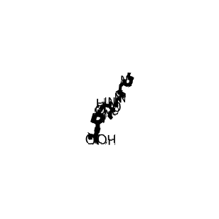 Cc1cccc(Cc2cnn(C(=O)NC3COc4ccc(C#CC5(O)COC5)cc4N(C)C3=O)c2)n1